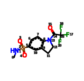 CNS(=O)(=O)c1ccc2c(c1)CCN2C(=O)C(F)(F)F